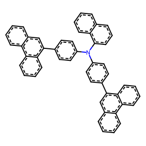 c1ccc2c(N(c3ccc(-c4cc5ccccc5c5ccccc45)cc3)c3ccc(-c4cc5ccccc5c5ccccc45)cc3)cccc2c1